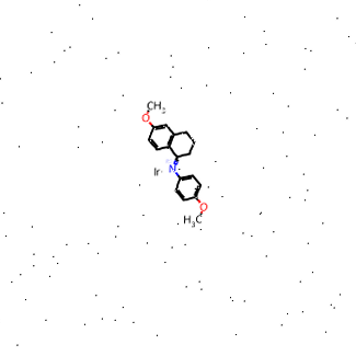 COc1ccc(/N=C2\CCCc3cc(OC)ccc32)cc1.[Ir]